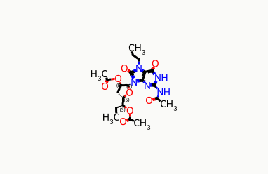 CCCn1c(=O)n([C@@H]2O[C@H]([C@H](CC)OC(C)=O)C[C@H]2OC(C)=O)c2nc(NC(C)=O)[nH]c(=O)c21